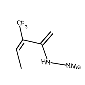 C=C(NNC)/C(=C\C)C(F)(F)F